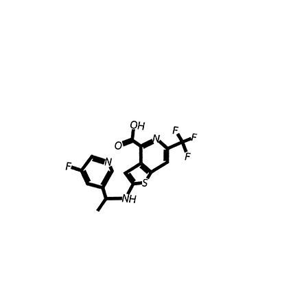 CC(Nc1cc2c(C(=O)O)nc(C(F)(F)F)cc2s1)c1cncc(F)c1